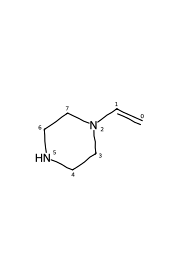 C=CN1CCNCC1